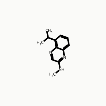 CNc1cnc2c(C(C)C)cccc2n1